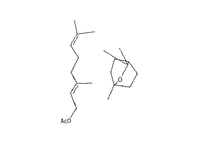 CC(=O)OC/C=C(\C)CCC=C(C)C.CC12CCC(CC1)C(C)(C)O2